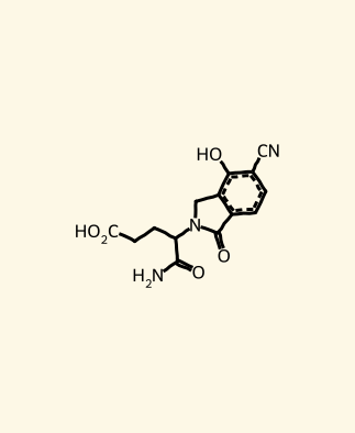 N#Cc1ccc2c(c1O)CN(C(CCC(=O)O)C(N)=O)C2=O